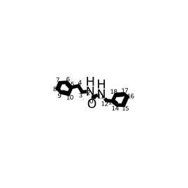 O=C(NCCc1ccccc1)NCc1ccccc1